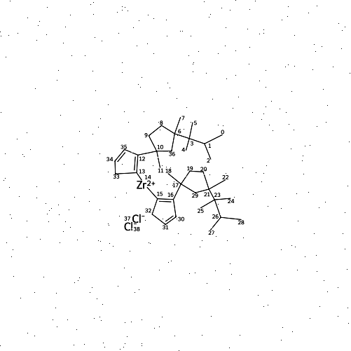 CC(C)C(C)(C)C1(C)CCC(C)(C2=[C]([Zr+2][C]3=C(C4(C)CCC(C)(C(C)(C)C(C)C)C4)C=CC3)CC=C2)C1.[Cl-].[Cl-]